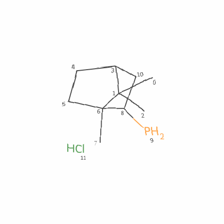 CC1(C)C2CCC1(C)C(P)C2.Cl